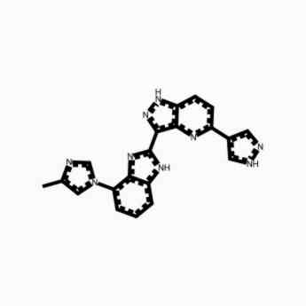 Cc1cn(-c2cccc3[nH]c(-c4n[nH]c5ccc(-c6cn[nH]c6)nc45)nc23)cn1